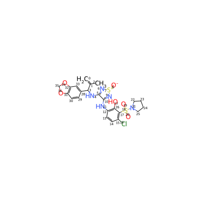 C=C(C)[C@@H](Nc1n[s+]([O-])nc1Nc1ccc(Cl)c(S(=O)(=O)N2CCCC2)c1O)c1ccc2c(c1)OCO2